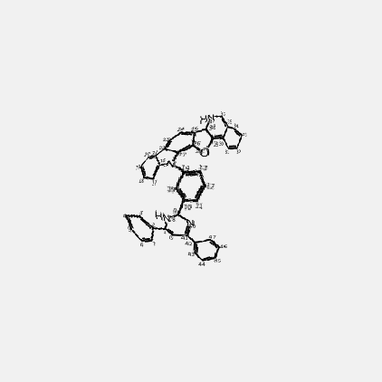 C1=C(c2ccccc2)NC(c2cccc(-n3c4ccccc4c4ccc5c(c43)OC3=c4ccccc4=CNC35)c2)N=C1c1ccccc1